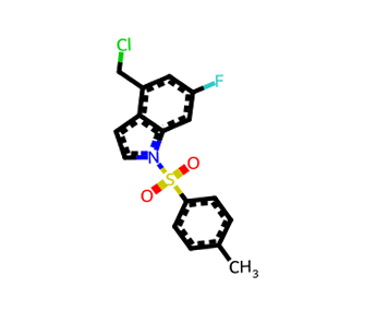 Cc1ccc(S(=O)(=O)n2ccc3c(CCl)cc(F)cc32)cc1